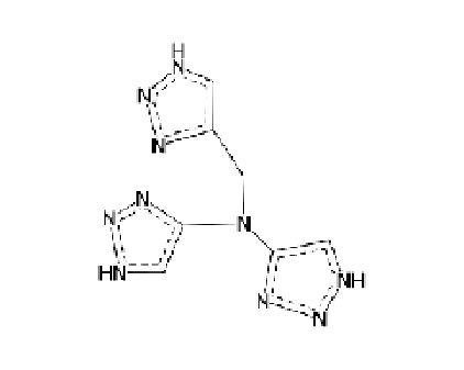 c1[nH]nnc1CN(c1c[nH]nn1)c1c[nH]nn1